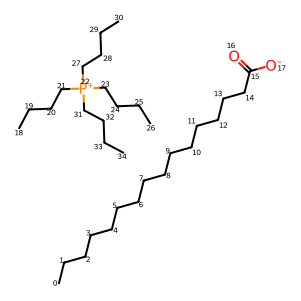 CCCCCCCCCCCCCCCC(=O)[O-].CCCC[P+](CCCC)(CCCC)CCCC